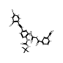 CC(C)(C)OC(=O)Nc1ccc(C#Cc2ccc(F)cc2F)cc1NC(=O)CC(=O)c1cccc(C#N)c1